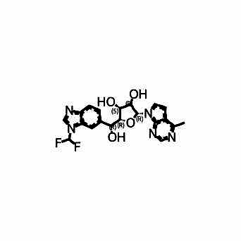 Cc1ncnc2c1ccn2[C@@H]1O[C@H]([C@H](O)c2ccc3ncn(C(F)F)c3c2)[C@@H](O)[C@H]1O